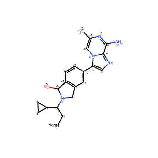 CC(=O)NCC(C1CC1)N1Cc2cc(-c3cnc4c(N)nc(C(F)(F)F)cn34)ccc2C1O